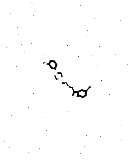 COc1cccc(N2CCN(CCCCc3c[nH]c4ccc(C#N)cc34)CC2)c1